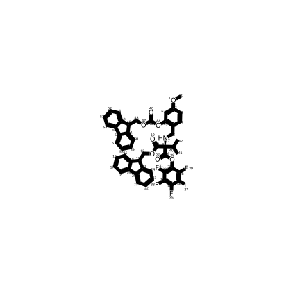 COc1ccc(CN[C@](C(=O)OCC2c3ccccc3-c3ccccc32)(C(=O)Oc2c(F)c(F)c(F)c(F)c2F)C(C)C)c(OC(=O)OCC2c3ccccc3-c3ccccc32)c1